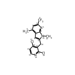 Cc1cc(C(F)(F)F)nc2c1cc(Cc1c(Cl)[c]cnc1Cl)n2C